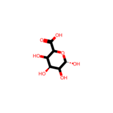 O=C(O)C1O[C@H](O)C(O)[C@@H](O)C1O